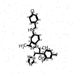 Cc1nn([C@H](C)[C@](O)(Cn2cncn2)c2ccc(F)cc2F)c2ccc(NCc3ccc(Cl)cc3)cc12